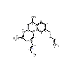 C=CCCc1ccc(C(/C=C2\CC=C(/C=C/CCC)CC(N)=N2)CCC)cc1